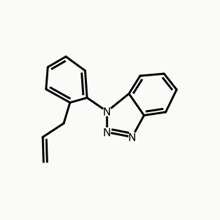 C=CCc1ccccc1-n1nnc2ccccc21